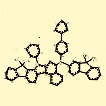 CC1(C)c2ccccc2-c2ccc(N(c3ccc(-c4ccccc4)cc3)c3cc4c(c5ccccc35)c3ccc5c(c3n4-c3ccccc3)C(C)(C)c3ccccc3-5)cc21